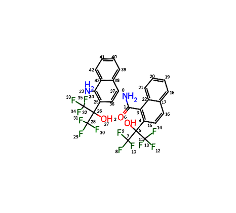 NC(=O)c1c(C(O)(C(F)(F)F)C(F)(F)F)ccc2ccccc12.Nc1c(C(O)(C(F)(F)F)C(F)(F)F)ccc2ccccc12